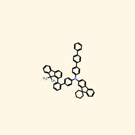 CC1(C)c2ccccc2-c2cccc(-c3ccccc3-c3ccc(N(c4ccc(-c5ccc(-c6ccccc6)cc5)cc4)c4ccc5c(c4)C4(CCCCC4)c4ccccc4-5)cc3)c21